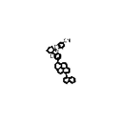 CC12CCCCC1(C)N(c1ccc(C#N)cc1)c1ccc(-c3ccc4ccc5c(-c6cccc7ccccc67)ccc6ccc3c4c65)cc12